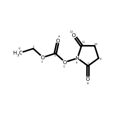 C[CH]OC(=O)ON1C(=O)CCC1=O